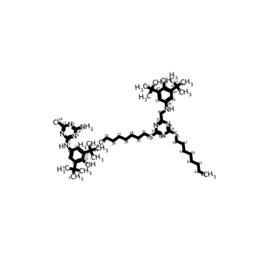 CC(C)(C)c1cc(Nc2nc(N)nc(Cl)n2)cc(C(C)(C)C)c1O.CCCCCCCCSc1nc(CNc2cc(C(C)(C)C)c(O)c(C(C)(C)C)c2)nc(SCCCCCCCC)n1